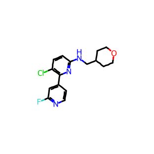 Fc1cc(-c2nc(NCC3CCOCC3)ccc2Cl)ccn1